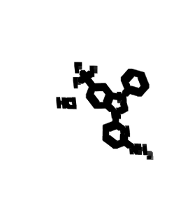 Cl.Nc1cccc(N2CN(c3ccccc3)c3cc(C(F)(F)F)ccc32)n1